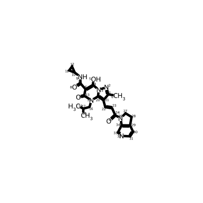 Cc1nn2c(O)c(C(=O)NC3CC3)c(=O)n(CC(C)C)c2c1/C=C/C(=O)N1CCc2ccncc21